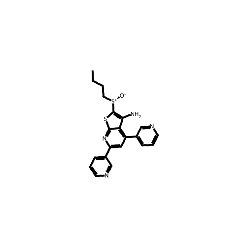 CCCC[S@@+]([O-])c1sc2nc(-c3cccnc3)cc(-c3cccnc3)c2c1N